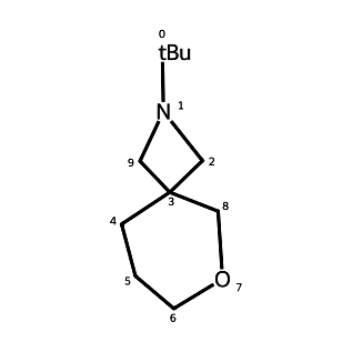 CC(C)(C)N1CC2(CCCOC2)C1